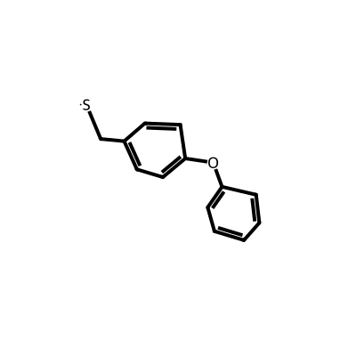 [S]Cc1ccc(Oc2ccccc2)cc1